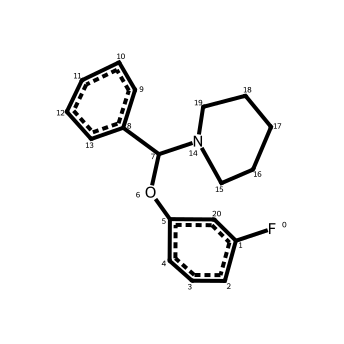 Fc1cccc(OC(c2ccccc2)N2CCCCC2)c1